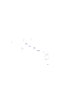 CC1=C(/C=C/C(C)=C/C=C/C(C)=C/C(=O)Nc2ccc(OC(=O)CCC(=O)O)cc2)C(C)(C)CCC1